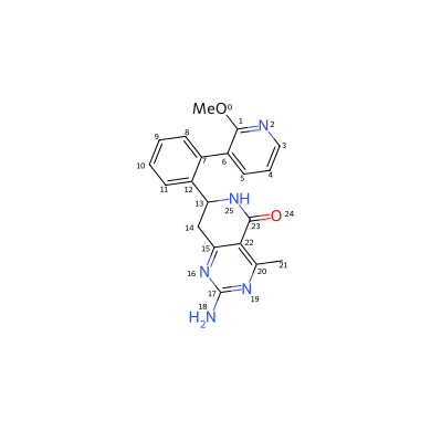 COc1ncccc1-c1ccccc1C1Cc2nc(N)nc(C)c2C(=O)N1